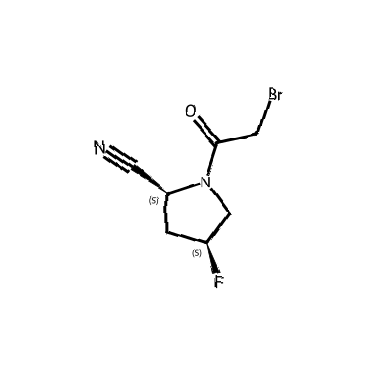 N#C[C@@H]1C[C@H](F)CN1C(=O)CBr